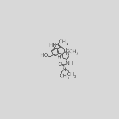 CCN(CC)C(=O)N[C@H]1C[C@@H]2c3cc(CO)cc4[nH]c(C)c(c34)C[C@H]2N(C)C1